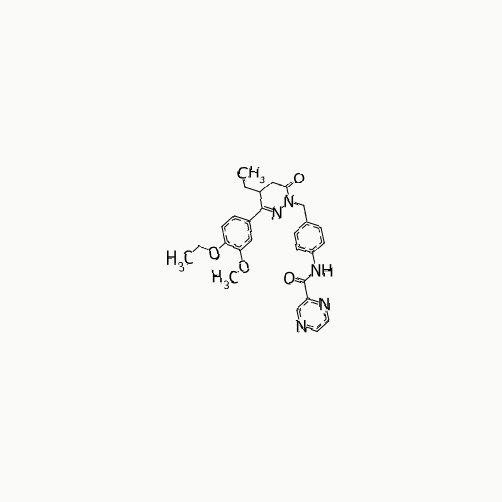 CCOc1ccc(C2=NN(Cc3ccc(NC(=O)c4cnccn4)cc3)C(=O)CC2CC)cc1OC